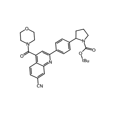 CC(C)(C)OC(=O)N1CCCC1c1ccc(-c2cc(C(=O)N3CCOCC3)c3ccc(C#N)cc3n2)cc1